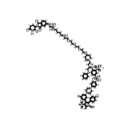 Cc1c(S(C)(=O)=O)c(-c2cc(F)cc(N3CCN(c4ccc(NS(=O)(=O)c5ccc(N[C@H](CCN6CCC(OCCOCCOCCOCCNCCCCNC(=O)CNc7ccc8c(c7)C(=O)N(C7CCC(=O)NC7=O)C8=O)CC6)CSc6ccccc6)c(S(=O)(=O)C(F)(F)F)c5)cc4)CC3)c2)c(-c2ccc(Cl)cc2)n1C(C)C